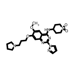 COc1cc2c(NC3CCS(=O)(=O)CC3)nc(-n3cccn3)nc2cc1OCCCN1CCCC1